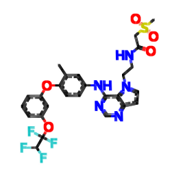 Cc1cc(Nc2ncnc3ccn(CCNC(=O)CS(C)(=O)=O)c23)ccc1Oc1cccc(OC(F)(F)C(F)F)c1